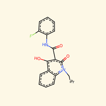 CC(C)Cn1c(=O)c(C(=O)Nc2ccccc2F)c(O)c2ccccc21